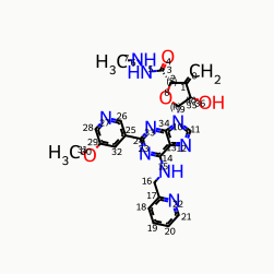 C=C1[C@@H](C(=O)NNC)O[C@@H](n2cnc3c(NCc4ccccn4)nc(-c4cncc(OC)c4)nc32)[C@@H]1O